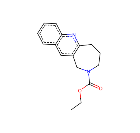 CCOC(=O)N1CCCc2nc3ccccc3cc2C1